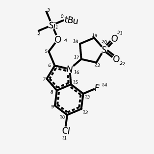 CC(C)(C)[Si](C)(C)OCc1cc2cc(Cl)cc(F)c2n1C1CCS(=O)(=O)C1